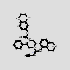 N#C/N=C(/Nc1cccc2c1CCNC2)N1CCN(C(=O)Nc2ccc3c(c2)OCCO3)C(c2ccccc2)C1